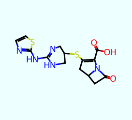 O=C(O)C1=C(SC2CN=C(Nc3nccs3)NC2)CC2CC(=O)N12